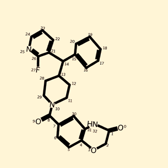 O=C1COc2ccc(C(=O)N3CCC(C(c4ccccc4)c4cccnc4F)CC3)cc2N1